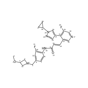 COC1CN(Cc2ccc(NC(=O)C=Cc3cncc(F)c3-c3cnn(C4CC4)c3)c(F)c2)C1